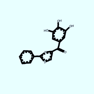 O=C(c1cc(O)c(O)c(O)c1)c1csc(-c2ccccc2)n1